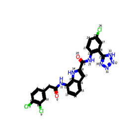 O=C(Cc1ccc(Cl)c(Cl)c1)Nc1cccc2cc(C(=O)Nc3ccc(Cl)cc3-c3nnn[nH]3)[nH]c12